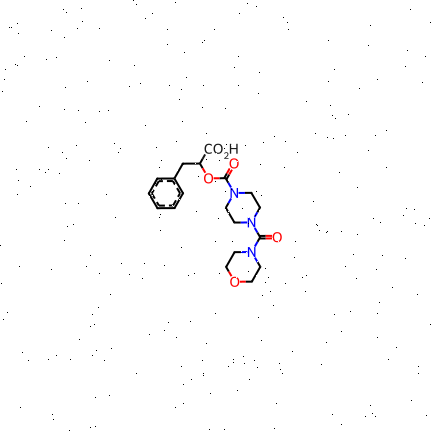 O=C(O)C(Cc1ccccc1)OC(=O)N1CCN(C(=O)N2CCOCC2)CC1